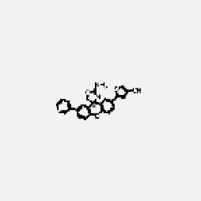 Cc1csc(-c2ccc3c(c2)[C@]2(COC(N)=N2)c2cc(-c4cccnc4)ccc2O3)c1